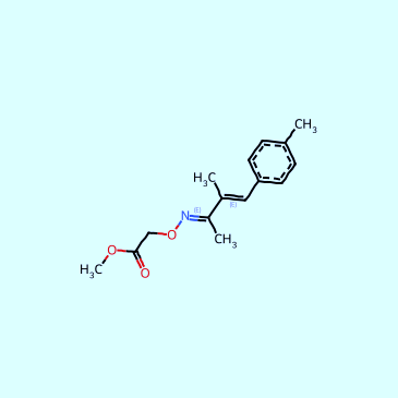 COC(=O)CO/N=C(C)/C(C)=C/c1ccc(C)cc1